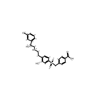 Cl.O=C(O)c1ccc(CS(=O)(=O)c2ccc(CCNC[C@H](O)c3cccc(Cl)c3)cc2)cc1